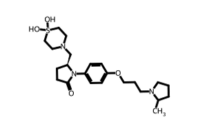 CC1CCCN1CCCOc1ccc(N2C(=O)CC[C@H]2CN2CCS(O)(O)CC2)cc1